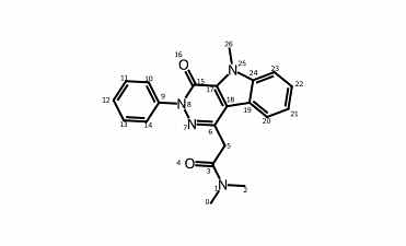 CN(C)C(=O)Cc1nn(-c2ccccc2)c(=O)c2c1c1ccccc1n2C